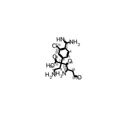 N=C(N)c1ccc(C(CCN)(C(=O)O)C(=O)C(N)CC=O)cc1Cl